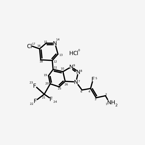 Cl.NC/C=C(\F)Cn1nnc2c(-c3cncc(Cl)c3)cc(C(F)(F)F)cc21